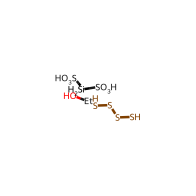 CCO.O=S(=O)(O)[SiH2]S(=O)(=O)O.SSSS